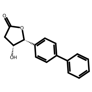 O=C1C[C@@H](O)[C@@H](c2ccc(-c3ccccc3)cc2)O1